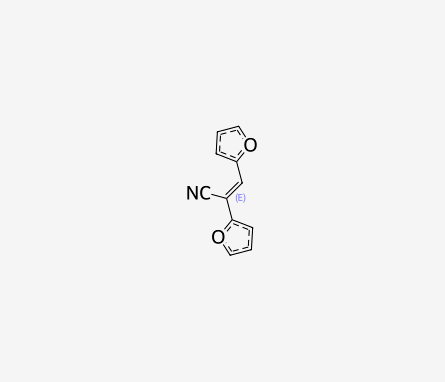 N#C/C(=C\c1ccco1)c1ccco1